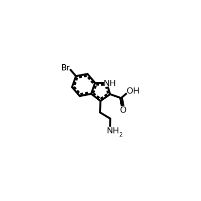 NCCc1c(C(=O)O)[nH]c2cc(Br)ccc12